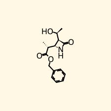 C[C@H](O)[C@H]1C(=O)N[C@@H]1[C@@H](C)C(=O)OCc1ccccc1